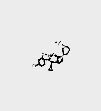 CN1CCC[C@@H](n2ccc3c(C4CC4)c(-c4ccc(Cl)cc4O)nnc32)C1